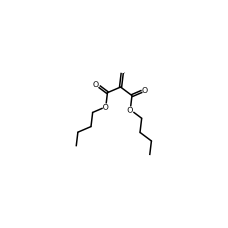 [CH]=C(C(=O)OCCCC)C(=O)OCCCC